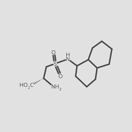 N[C@@H](CS(=O)(=O)NC1CCCC2CCCCC21)C(=O)O